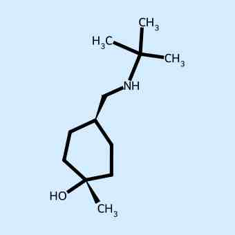 CC(C)(C)NC[C@H]1CC[C@](C)(O)CC1